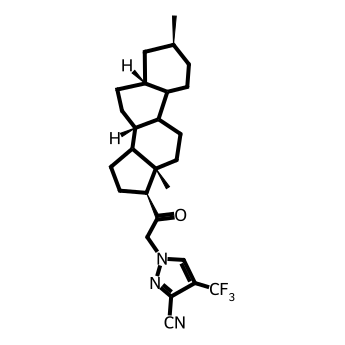 C[C@H]1CCC2C3CC[C@@]4(C)C(CC[C@@H]4C(=O)Cn4cc(C(F)(F)F)c(C#N)n4)[C@@H]3CC[C@@H]2C1